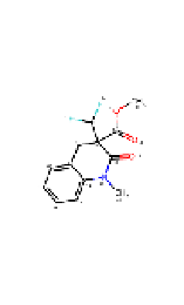 COC(=O)C1(C(F)F)Cc2ccccc2N(C)C1=O